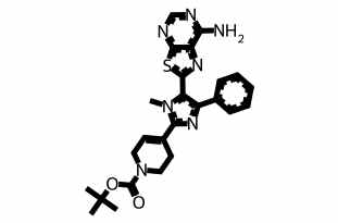 Cn1c(C2=CCN(C(=O)OC(C)(C)C)CC2)nc(-c2ccccc2)c1-c1nc2c(N)ncnc2s1